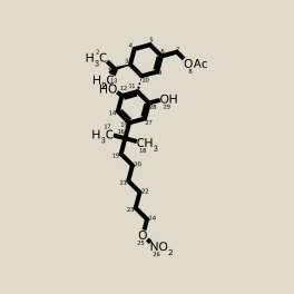 C=C(C)[C@H]1CCC(COC(C)=O)=C[C@@H]1c1c(O)cc(C(C)(C)CCCCCCO[N+](=O)[O-])cc1O